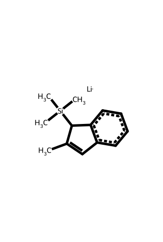 CC1=Cc2ccccc2C1[Si](C)(C)C.[Li]